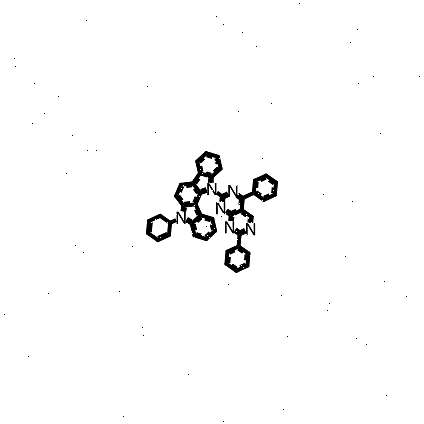 C1=CCC(n2c3ccccc3c3c4c(ccc32)c2ccccc2n4-c2nc(-c3ccccc3)c3cnc(-c4ccccc4)nc3n2)C=C1